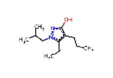 CCCc1c(O)nn(CC(C)C)c1CC